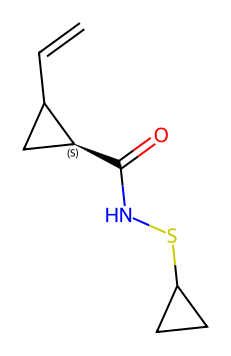 C=CC1C[C@@H]1C(=O)NSC1CC1